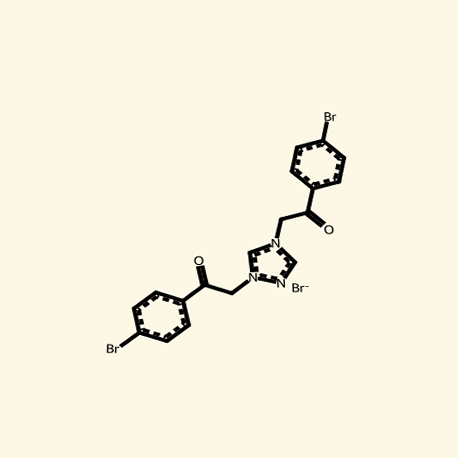 O=C(Cn1cn[n+](CC(=O)c2ccc(Br)cc2)c1)c1ccc(Br)cc1.[Br-]